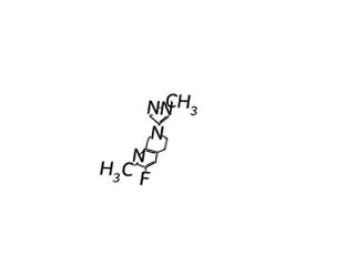 Cc1nc2c(cc1F)CCN(c1cnn(C)c1)C2